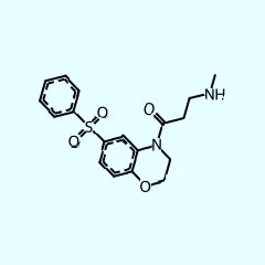 CNCCC(=O)N1CCOc2ccc(S(=O)(=O)c3ccccc3)cc21